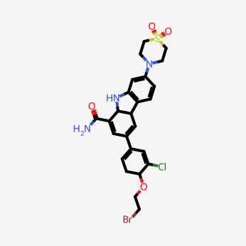 NC(=O)C1=CC(C2=CCC(OCCBr)C(Cl)=C2)=CC2c3ccc(N4CCS(=O)(=O)CC4)cc3NC12